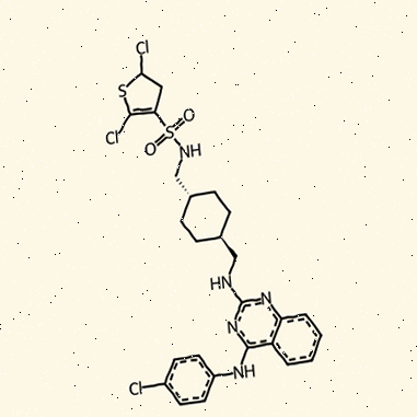 O=S(=O)(NC[C@H]1CC[C@H](CNc2nc(Nc3ccc(Cl)cc3)c3ccccc3n2)CC1)C1=C(Cl)SC(Cl)C1